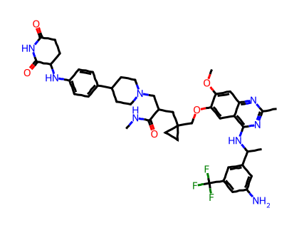 CNC(=O)C(CN1CCC(c2ccc(NC3CCC(=O)NC3=O)cc2)CC1)CC1(COc2cc3c(NC(C)c4cc(N)cc(C(F)(F)F)c4)nc(C)nc3cc2OC)CC1